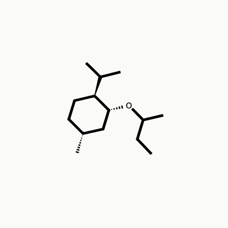 CCC(C)O[C@@H]1C[C@H](C)CC[C@H]1C(C)C